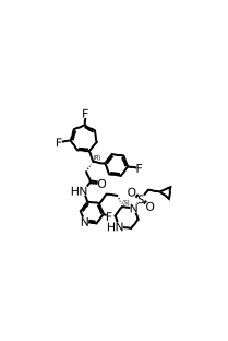 O=C(C[C@H](C1=CC(F)=CC(F)=CC1)c1ccc(F)cc1)Nc1cncc(F)c1CC[C@H]1CNCCN1S(=O)(=O)CC1CC1